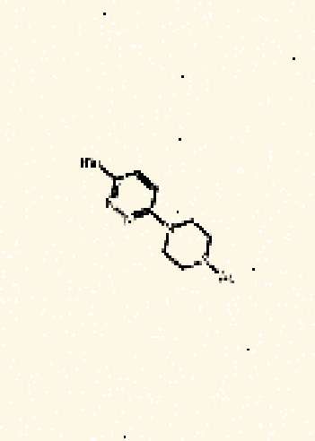 CC(=O)N1CCN(c2ccc(C(C)(C)C)nn2)CC1